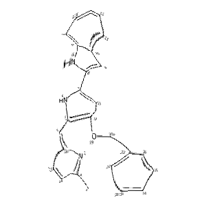 CC1=N/C(=C\c2[nH]c(-c3cc4ccccc4[nH]3)cc2OCc2ccccc2)C=C1